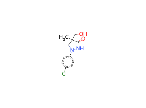 CC1(CO)CN(c2ccc(Cl)cc2)NC1=O